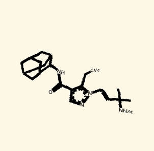 COCc1c(C(=O)NC2C3CC4CC(C3)CC2C4)cnn1/C=C/C(C)(C)NC(C)=O